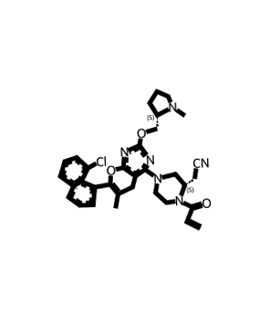 C=CC(=O)N1CCN(c2nc(OC[C@@H]3CCCN3C)nc3c2CC(C)=C(c2cccc4cccc(Cl)c24)O3)C[C@@H]1CC#N